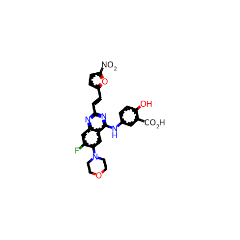 O=C(O)c1cc(Nc2nc(/C=C/c3ccc([N+](=O)[O-])o3)nc3cc(F)c(N4CCOCC4)cc23)ccc1O